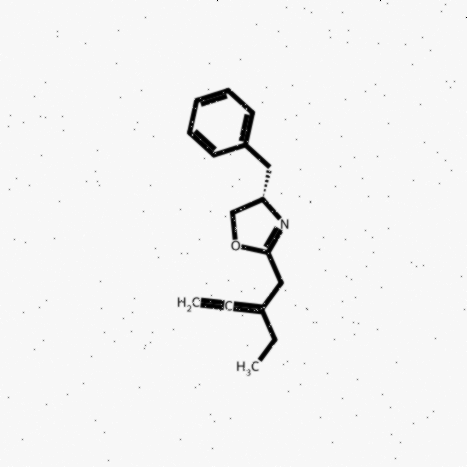 C=C=C(CC)CC1=N[C@@H](Cc2ccccc2)CO1